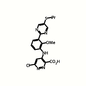 COc1c(Nc2cc(Cl)nnc2C(=O)O)cccc1-c1ncc(SC(C)C)cn1